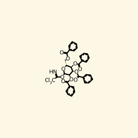 N=C(OC1O[C@H](COC(=O)c2ccccc2)[C@@H](OC(=O)c2ccccc2)[C@H](OC(=O)c2ccccc2)[C@H]1OC(=O)c1ccccc1)C(Cl)(Cl)Cl